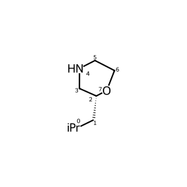 CC(C)C[C@@H]1CNCCO1